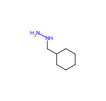 NNCC1CCCCC1